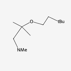 CNCC(C)(C)OCCC(C)(C)C